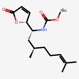 CC(C)=CCC[C@@H](C)C[C@@H](NC(=O)OC(C)(C)C)[C@H]1C=CC(=O)O1